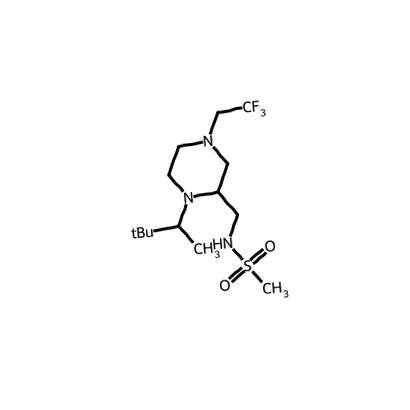 CC(N1CCN(CC(F)(F)F)CC1CNS(C)(=O)=O)C(C)(C)C